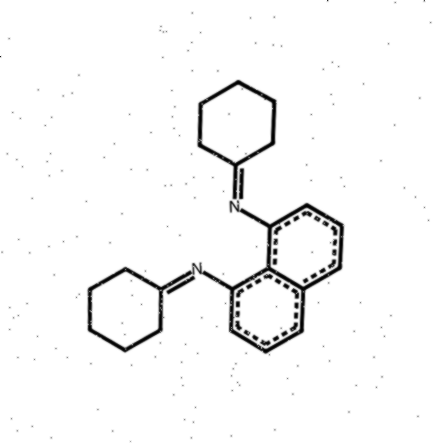 c1cc(N=C2CCCCC2)c2c(N=C3CCCCC3)cccc2c1